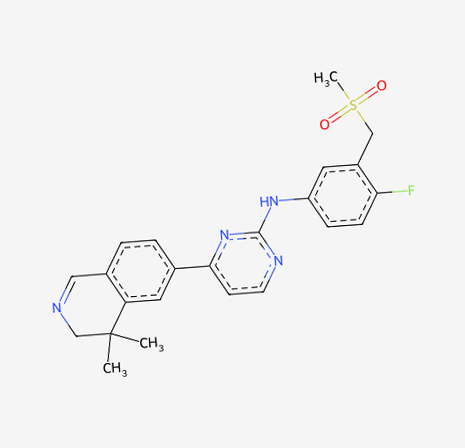 CC1(C)CN=Cc2ccc(-c3ccnc(Nc4ccc(F)c(CS(C)(=O)=O)c4)n3)cc21